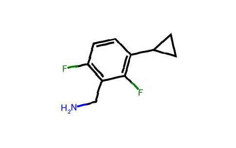 NCc1c(F)ccc(C2CC2)c1F